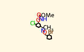 COC(=O)NOc1cc(/C(C)=N/OCc2ccccc2Br)ccc1Cl